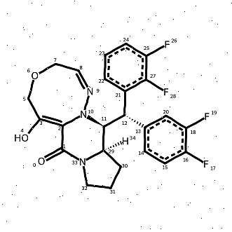 O=C1/C2=C(\O)COC/C=N\N2[C@@H]([C@@H](c2ccc(F)c(F)c2)c2cccc(F)c2F)[C@H]2CCCN12